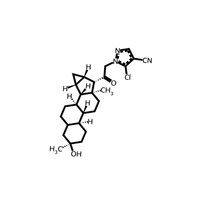 C[C@@]1(O)CC[C@H]2C(CC[C@@H]3[C@@H]2CC[C@@]2(C)[C@H]3[C@@H]3C[C@@H]3[C@@H]2C(=O)Cn2ncc(C#N)c2Cl)C1